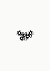 CB1c2c(oc3ncccc23)C=C(C)N1N1c2ncccc2N(c2ccccc2)C1(C)C